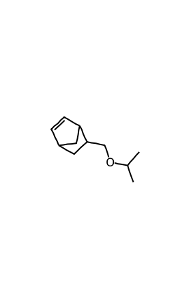 CC(C)OCC1CC2C=CC1C2